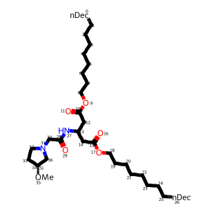 CCCCCCCCCCCCCCCCCCOC(=O)CC(CC(=O)OCCCCCCCCCCCCCCCCCC)NC(=O)CN1CC[C@H](OC)C1